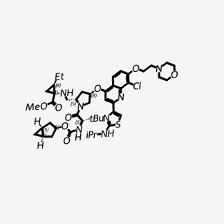 CC[C@@H]1C[C@]1(NC[C@@H]1C[C@@H](Oc2cc(-c3csc(NC(C)C)n3)nc3c(Cl)c(OCCN4CCOCC4)ccc23)CN1C(=O)[C@@H](NC(=O)O[C@@H]1C[C@@H]2C[C@@H]2C1)C(C)(C)C)C(=O)OC